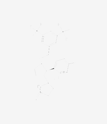 C[C@]1([C@@H]2CC[C@H](OCc3cc(C(F)(F)F)cc(C(F)(F)F)c3)[C@H]2c2ccc(F)cc2)CCC(=O)N1